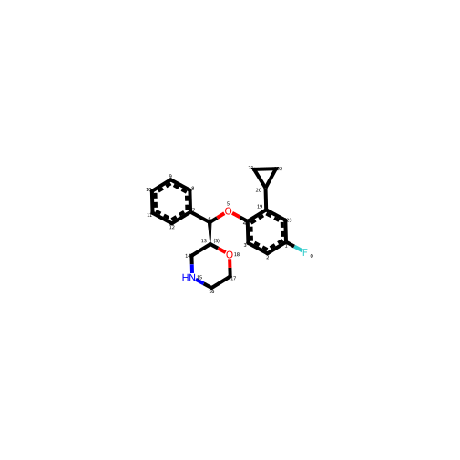 Fc1ccc(OC(c2ccccc2)[C@@H]2CNCCO2)c(C2CC2)c1